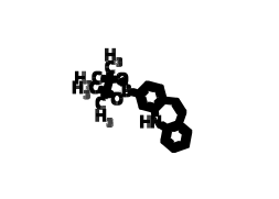 CC1(C)OB(c2ccc3c(c2)Nc2ccccc2C=C3)OC1(C)C